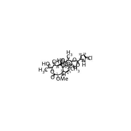 CO[C@H]1C[C@H]2C=C[C@]3(C)[C@H]4[C@H](O)[C@@H](C)[C@@H](OC(=O)c5ccc(Cl)[nH]5)[C@@H]3O[C@@]24/C(C)=C/[C@@H](C)[C@@H]([C@@H](C)O)OC1=O